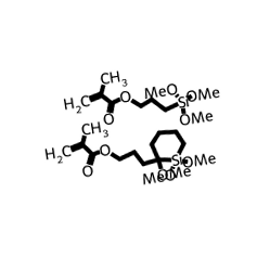 C=C(C)C(=O)OCCCC1(OC)CCCC[Si]1(OC)OC.C=C(C)C(=O)OCCC[Si](OC)(OC)OC